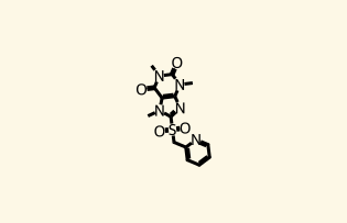 Cn1c(=O)c2c(nc(S(=O)(=O)Cc3ccccn3)n2C)n(C)c1=O